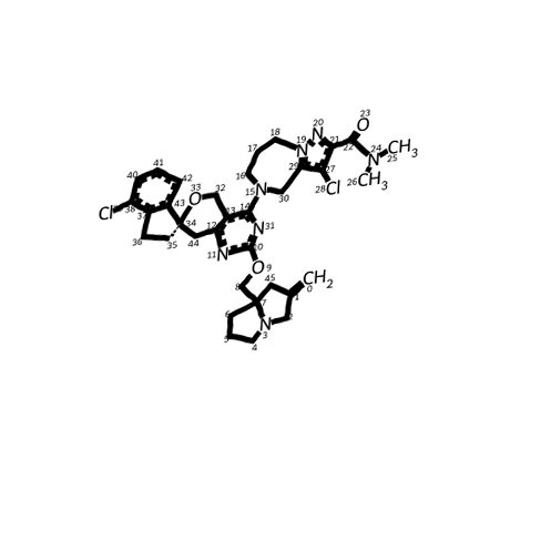 C=C1CN2CCCC2(COc2nc3c(c(N4CCCn5nc(C(=O)N(C)C)c(Cl)c5C4)n2)CO[C@@]2(CCc4c(Cl)cccc42)C3)C1